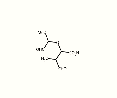 COC(C=O)OC(C(=O)O)C(C)C=O